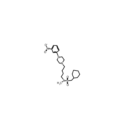 CN(CCCCN1CCN(c2cccc([N+](=O)[O-])c2)CC1)S(=O)(=O)CC1CCCCC1